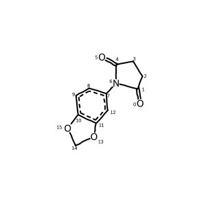 O=C1CCC(=O)N1c1ccc2c(c1)OCO2